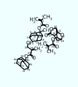 C=C(C)C(=O)OC1(C)C2CC3CC(C2)CC1C3.C=C(C)C(=O)OC1C2CC3C(=O)OC1C3O2.C=C(CO)C(=O)OC12CC3CC(CC(C3)C1)C2